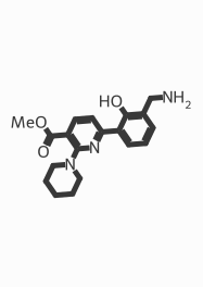 COC(=O)c1ccc(-c2cccc(CN)c2O)nc1N1CCCCC1